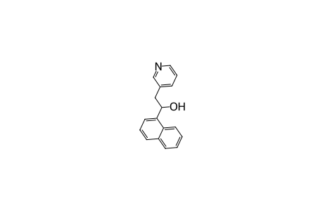 OC(Cc1cccnc1)c1cccc2ccccc12